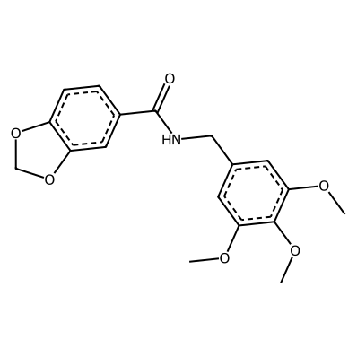 COc1cc(CNC(=O)c2ccc3c(c2)OCO3)cc(OC)c1OC